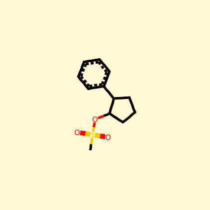 CS(=O)(=O)OC1CCCC1c1ccccc1